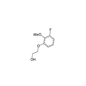 COc1c(F)cccc1OCCO